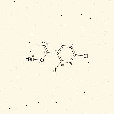 CC(C)(C)OC(=O)c1ccc(Cl)cc1I